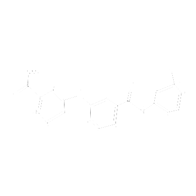 CNC(=O)c1cc(Oc2cccc(C(=O)Nc3cccc(Cl)c3)c2)ccn1